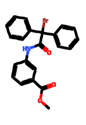 COC(=O)c1cccc(NC(=O)C(Br)(c2ccccc2)c2ccccc2)c1